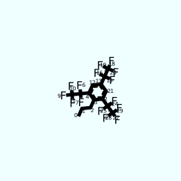 CC[CH]c1c(C(F)(F)C(F)(F)F)cc(C(F)(F)C(F)(F)F)cc1C(F)(F)C(F)(F)F